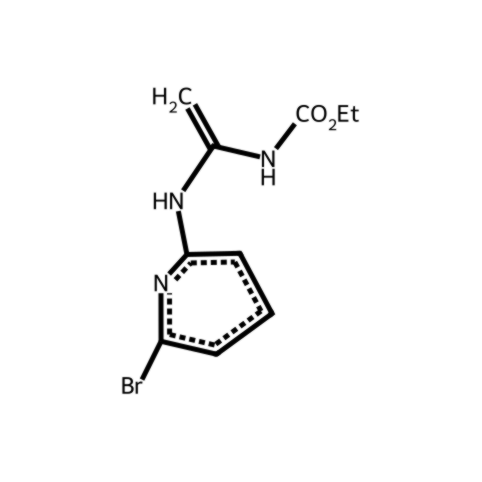 C=C(NC(=O)OCC)Nc1cccc(Br)n1